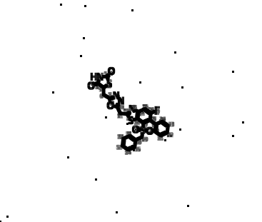 O=C1NC(=O)C(Cc2nnc(Cc3nc4cc(F)c(-c5ccccc5)c(S(=O)(=O)Cc5ccccc5)c4s3)o2)S1